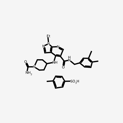 CCn1ncc2c(NC3CCN(C(N)=O)CC3)c(C(=O)NCc3ccc(C)c(C)c3)cnc21.Cc1ccc(S(=O)(=O)O)cc1